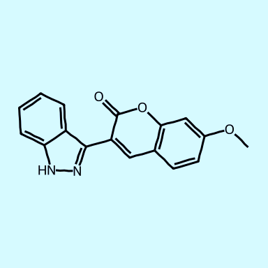 COc1ccc2cc(-c3n[nH]c4ccccc34)c(=O)oc2c1